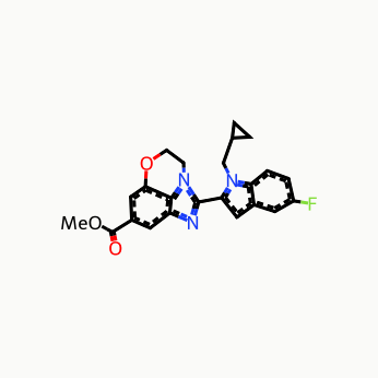 COC(=O)c1cc2c3c(c1)nc(-c1cc4cc(F)ccc4n1CC1CC1)n3CCO2